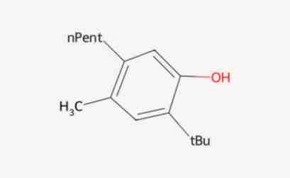 CCCCCc1cc(O)c(C(C)(C)C)cc1C